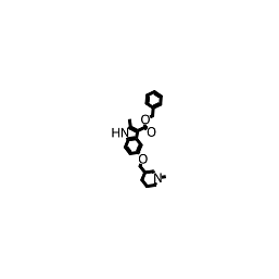 Cc1[nH]c2ccc(OCC3CCCN(C)C3)cc2c1C(=O)OCc1ccccc1